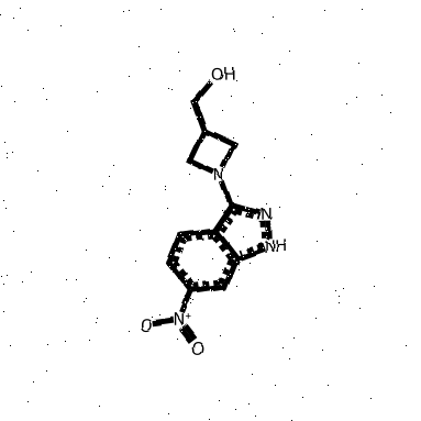 O=[N+]([O-])c1ccc2c(N3CC(CO)C3)n[nH]c2c1